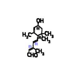 CC1=C[C@@H](O)CC(C)(C)[C@H]1/C=C/C(C)=C/C=O